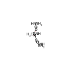 Cc1cn(CCCOc2ccc(C(=N)N)cc2)c(=N)n1CCCOc1ccc(C(=N)N)cc1